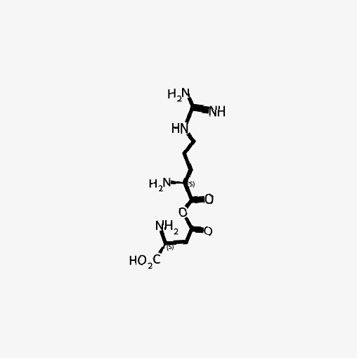 N=C(N)NCCC[C@H](N)C(=O)OC(=O)C[C@H](N)C(=O)O